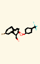 O=Cc1c(OC2CCC(C(F)(F)F)CC2)ccc2ccc(Br)cc12